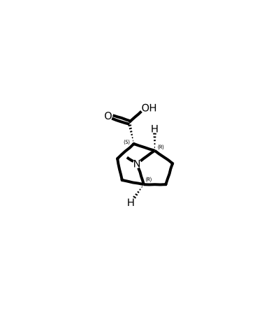 CN1[C@@H]2CC[C@H](C(=O)O)[C@H]1CC2